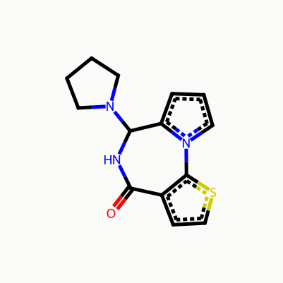 O=C1NC(N2CCCC2)c2cccn2-c2sccc21